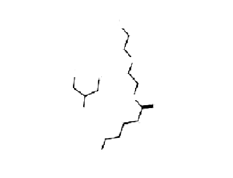 CCC(CO)CO.O=C(O)CCCCC(=O)OCCOCCO